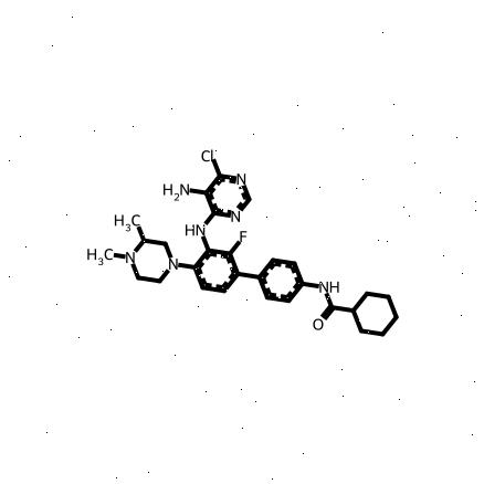 CC1CN(c2ccc(-c3ccc(NC(=O)C4CCCCC4)cc3)c(F)c2Nc2ncnc(Cl)c2N)CCN1C